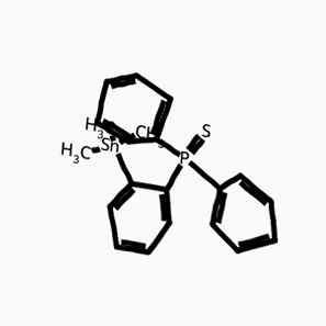 [CH3][Sn]([CH3])([CH3])[c]1ccccc1P(=S)(c1ccccc1)c1ccccc1